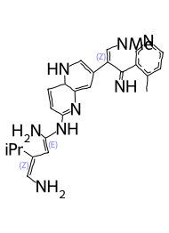 CN/C=C(\C(=N)c1cnccc1C)C1=CNC2C=CC(N/C(N)=C/C(=C\N)C(C)C)=NC2=C1